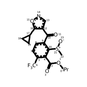 CC(C)OC(=O)c1c(C(F)(F)F)ccc(C(=O)c2cnoc2C2CC2)c1[S+](C)[O-]